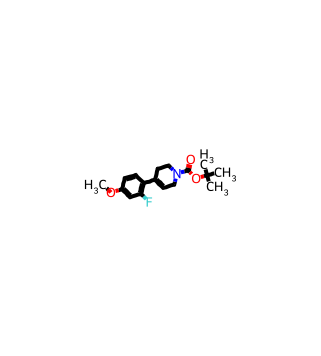 COc1ccc(C2=CCN(C(=O)OC(C)(C)C)CC2)c(F)c1